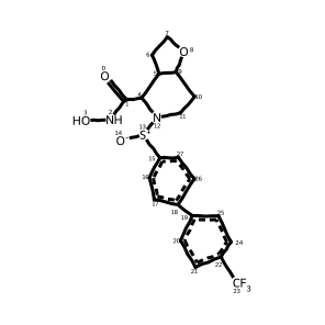 O=C(NO)C1C2CCOC2CCN1[S+]([O-])c1ccc(-c2ccc(C(F)(F)F)cc2)cc1